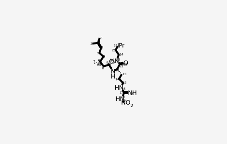 CC(C)=CCC[C@@H](C)CC(=O)N[C@@H](CCCNC(=N)N[N+](=O)[O-])C(=O)N[CH]CC(C)C